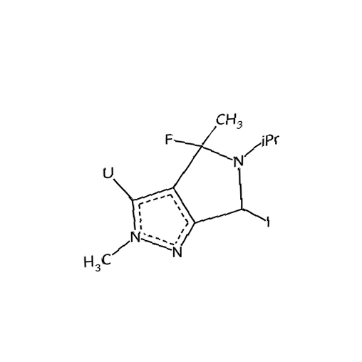 CC(C)N1C(I)c2nn(C)[c]([U])c2C1(C)F